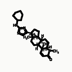 CN1C(=O)C=C[C@]2(C)[C@H]3CC[C@]4(C)[C@@H](c5csc(NC6CCCCC6)n5)CC[C@H]4[C@@H]3CC[C@@H]12